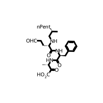 CCCCC[C@H](C)CN[C@@H](CCC=O)C(=O)N[C@@H](Cc1ccccc1)C(=O)N[C@@H](C)C(=O)C(=O)O